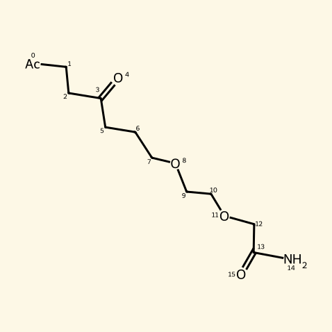 CC(=O)CCC(=O)CCCOCCOCC(N)=O